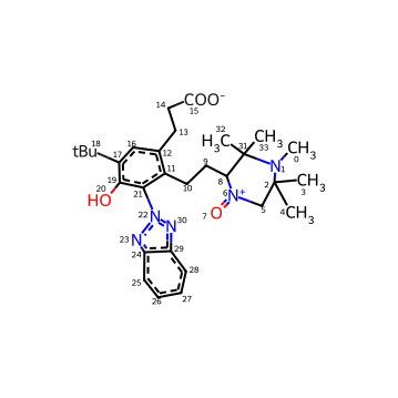 CN1C(C)(C)C[N+](=O)C(CCc2c(CCC(=O)[O-])cc(C(C)(C)C)c(O)c2-n2nc3ccccc3n2)C1(C)C